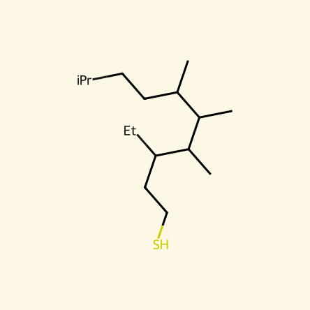 CCC(CCS)C(C)C(C)C(C)CCC(C)C